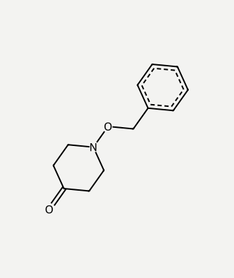 O=C1CCN(OCc2ccccc2)CC1